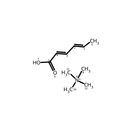 C/C=C/C=C/C(=O)O.C[N+](C)(C)C